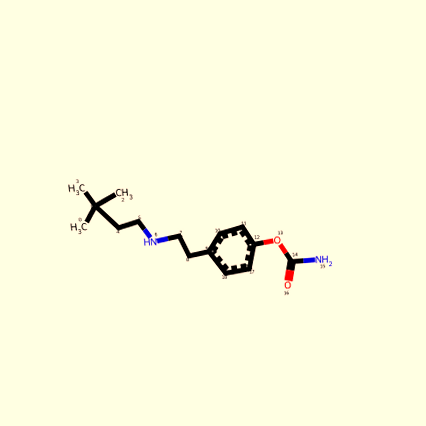 CC(C)(C)CCN[CH]Cc1ccc(OC(N)=O)cc1